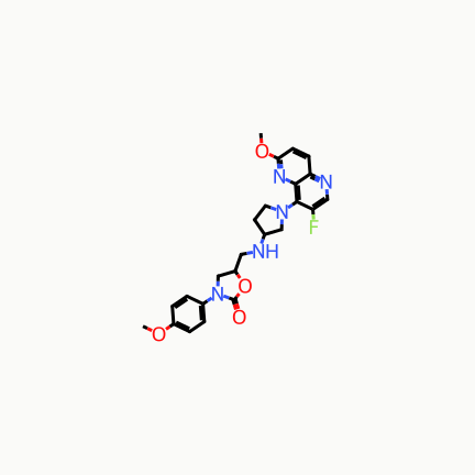 COc1ccc(N2CC(CNC3CCN(c4c(F)cnc5ccc(OC)nc45)C3)OC2=O)cc1